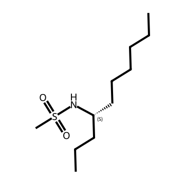 CCCCCC[C@H](CCC)NS(C)(=O)=O